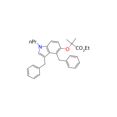 CCCn1cc(Cc2ccccc2)c2c(Cc3ccccc3)c(OC(C)(C)C(=O)OCC)ccc21